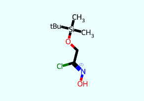 CC(C)(C)[Si](C)(C)OC/C(Cl)=N/O